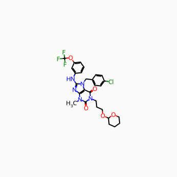 Cn1c(=O)n(CCCOC2CCCCO2)c(=O)c2c1nc(Nc1cccc(OC(F)(F)F)c1)n2Cc1ccc(Cl)cc1